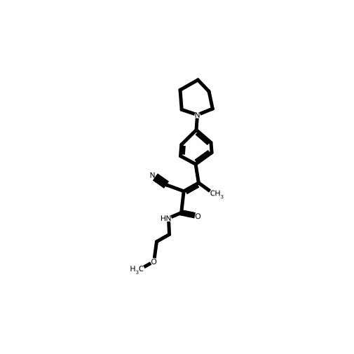 COCCNC(=O)/C(C#N)=C(\C)c1ccc(N2CCCCC2)cc1